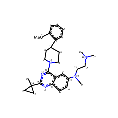 COc1ccccc1C1CCN(c2nc(C3(C)CC3)nc3ccc(N(C)CCN(C)C)cc23)CC1